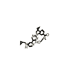 CN(CCO)C(=O)c1ccc2c(c1)N(c1ncc(-c3cc(NCC4CC4)ccn3)cn1)CC21CC1